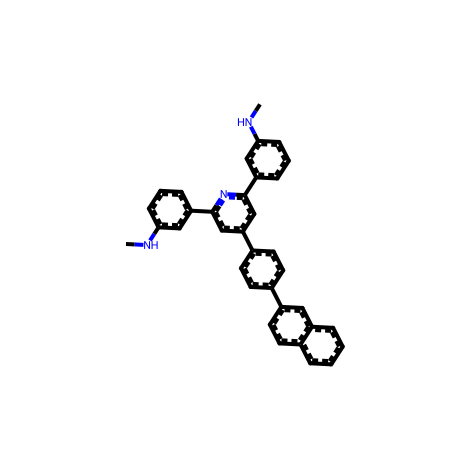 CNc1cccc(-c2cc(-c3ccc(-c4ccc5ccccc5c4)cc3)cc(-c3cccc(NC)c3)n2)c1